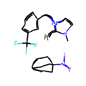 Cn1ccn(Cc2cccc(C(F)(F)F)c2)[c]1=[Pt].IN(I)C12CCC(CC1)CC2